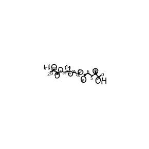 CC(O)C(=O)CCC(=O)OCCOC(=O)COC(=O)C(C)O